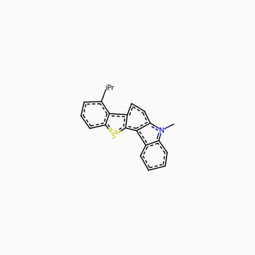 CC(C)c1cccc2sc3c(ccc4c3c3ccccc3n4C)c12